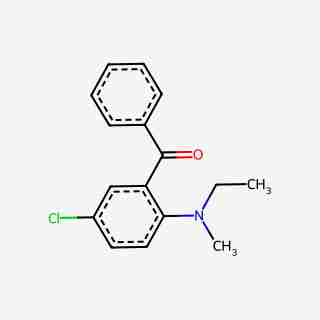 CCN(C)c1ccc(Cl)cc1C(=O)c1ccccc1